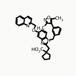 Cc1noc(C)c1-c1cccc(Cn2c(CC3(C(=O)O)CCCC3)nc3cc(OCc4ccc5ccccc5n4)ccc32)c1